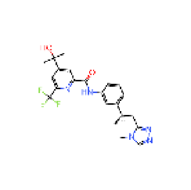 C[C@H](Cc1nncn1C)c1cccc(NC(=O)c2cc(C(C)(C)O)cc(C(F)(F)F)n2)c1